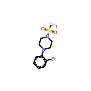 CCc1ccccc1N1CCN(S(C)(=O)=O)CC1